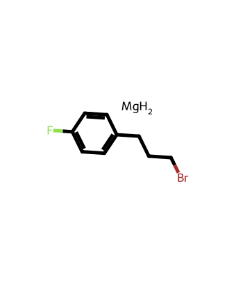 Fc1ccc(CCCBr)cc1.[MgH2]